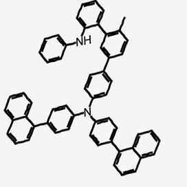 Cc1ccc(-c2ccc(N(c3ccc(-c4cccc5ccccc45)cc3)c3ccc(-c4cccc5ccccc45)cc3)cc2)cc1-c1ccccc1Nc1ccccc1